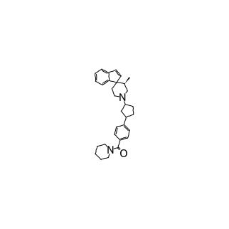 C[C@H]1CN(C2CCC(c3ccc(C(=O)N4CCCCC4)cc3)C2)CCC12C=Cc1ccccc12